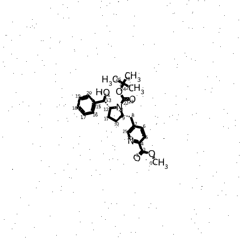 COC(=O)c1ccc(C[C@@H]2CC[C@H](C(O)c3ccccc3)N2C(=O)OC(C)(C)C)cn1